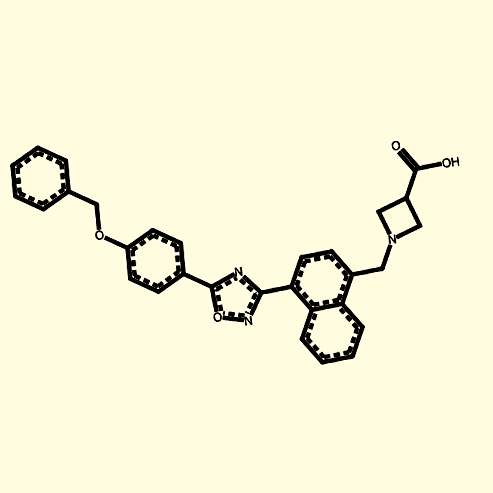 O=C(O)C1CN(Cc2ccc(-c3noc(-c4ccc(OCc5ccccc5)cc4)n3)c3ccccc23)C1